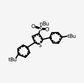 CCCCS(=O)(=O)c1cc(-c2ccc(C(C)(C)C)cc2)sc1-c1ccc(C(C)(C)C)cc1